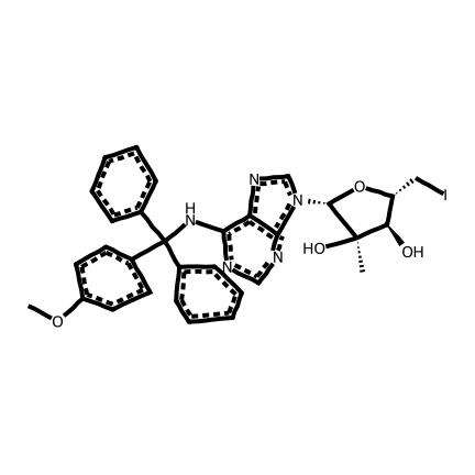 COc1ccc(C(Nc2ncnc3c2ncn3[C@@H]2O[C@H](CI)[C@@H](O)[C@@]2(C)O)(c2ccccc2)c2ccccc2)cc1